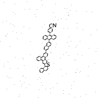 N#Cc1ccc(-c2c3ccccc3c(-c3ccc4cc(-c5ccc6c(c5)c5ccccc5c5cc7c(cc65)sc5ccc6ccccc6c57)ccc4c3)c3ccccc23)cc1